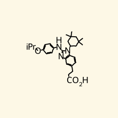 CC(C)Oc1ccc(Nc2nc3cc(CCC(=O)O)ccc3n2C2CC(C)(C)CC(C)(C)C2)cc1